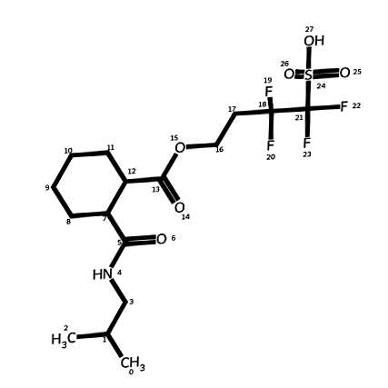 CC(C)CNC(=O)C1CCCCC1C(=O)OCCC(F)(F)C(F)(F)S(=O)(=O)O